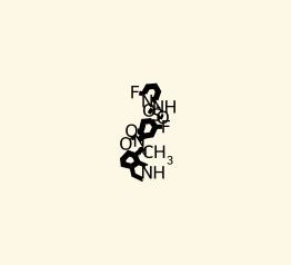 C[C@H](c1cccc2c1CNCC2)n1c(=O)oc2cc(S(=O)(=O)Nc3cccc(F)n3)c(F)cc21